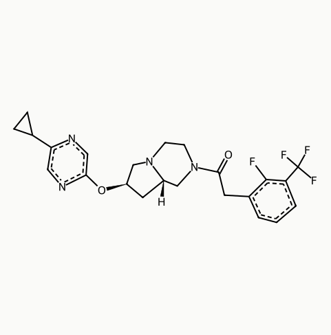 O=C(Cc1cccc(C(F)(F)F)c1F)N1CCN2C[C@H](Oc3cnc(C4CC4)cn3)C[C@H]2C1